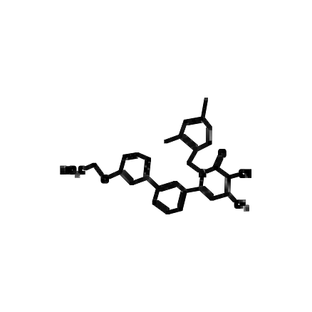 CCOC(=O)COc1cccc(-c2cccc(-c3cc(C(F)(F)F)c(C#N)c(=O)n3Cc3ccc(C)cc3C)c2)c1